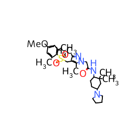 COc1cc(C)c(S(=O)(=O)Cc2c(C)nn(CC(=O)NC3CCC(N4CCCC4)CC3(C)C)c2C)c(C)c1